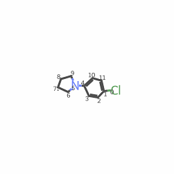 Clc1ccc(N2C[CH]CC2)cc1